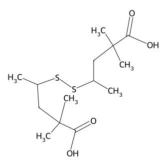 CC(CC(C)(C)C(=O)O)SSC(C)CC(C)(C)C(=O)O